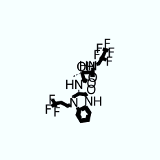 C[C@](O)(C(=O)NCC(F)(F)C(F)(F)F)C(=O)N[C@H]1CN(CCC(F)(F)F)c2ccccc2NC1=O